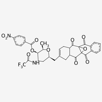 C[C@H]1O[C@@H](CC2=CCC3C(=O)C45OC4(C(=O)c4ccccc4C5=O)C(=O)C3C2)C[C@H](NC(=O)C(F)(F)F)[C@H]1OC(=O)c1ccc([N+](=O)[O-])cc1